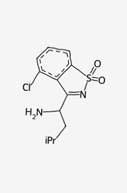 CC(C)CC(N)C1=NS(=O)(=O)c2cccc(Cl)c21